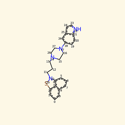 c1cc2c3c(cccc3c1)N(CCCN1CCN(c3ccc4[nH]ccc4c3)CC1)S2